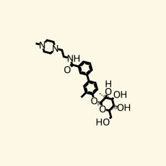 Cc1cc(-c2cccc(C(=O)NCCN3CCN(C)CC3)c2)ccc1O[C@H]1OC(CO)[C@@H](O)C(O)[C@]1(C)O